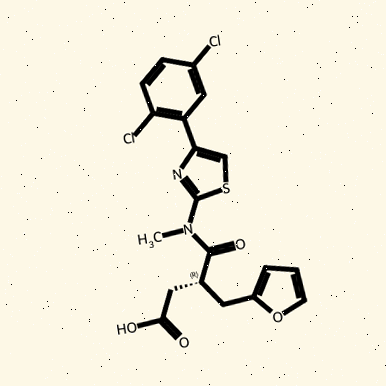 CN(C(=O)[C@@H](CC(=O)O)Cc1ccco1)c1nc(-c2cc(Cl)ccc2Cl)cs1